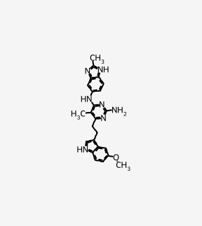 COc1ccc2[nH]cc(CCc3nc(N)nc(Nc4ccc5[nH]c(C)nc5c4)c3C)c2c1